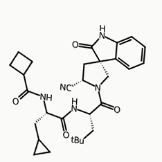 CC(C)(C)C[C@H](NC(=O)[C@H](CC1CC1)NC(=O)C1CCC1)C(=O)N1C[C@]2(C[C@H]1C#N)C(=O)Nc1ccccc12